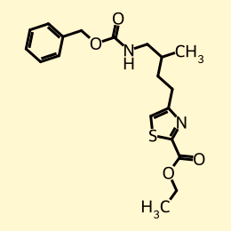 CCOC(=O)c1nc(CCC(C)CNC(=O)OCc2ccccc2)cs1